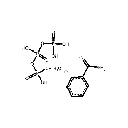 N=C(N)c1ccccc1.O.O.O=P(O)(O)OP(=O)(O)OP(=O)(O)O